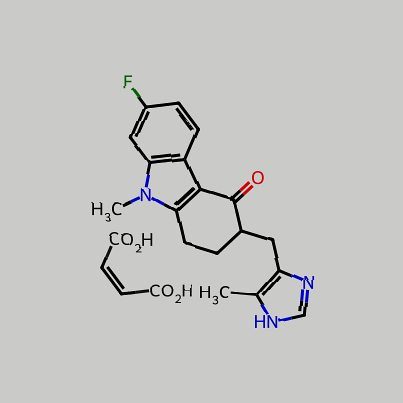 Cc1[nH]cnc1CC1CCc2c(c3ccc(F)cc3n2C)C1=O.O=C(O)/C=C\C(=O)O